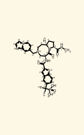 CNC(=O)[C@@H]1CC[C@@H]2CCN(Cc3ccn4ccnc4c3)C[C@H](NC(=O)c3cc4cc(C(F)(F)P(=O)(O)O)ccc4s3)C(=O)N21